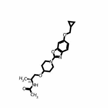 CC(=O)N[C@@H](C)COC1CCN(c2nc3ccc(OCC4CC4)cc3o2)CC1